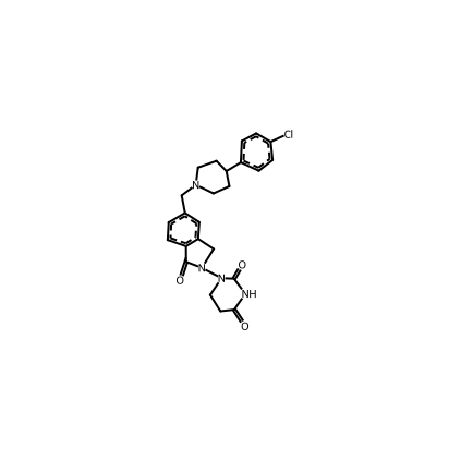 O=C1CCN(N2Cc3cc(CN4CCC(c5ccc(Cl)cc5)CC4)ccc3C2=O)C(=O)N1